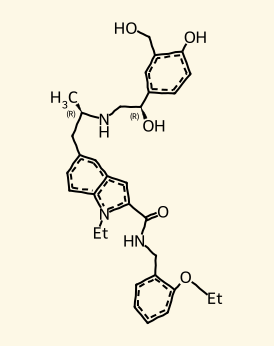 CCOc1ccccc1CNC(=O)c1cc2cc(C[C@@H](C)NC[C@H](O)c3ccc(O)c(CO)c3)ccc2n1CC